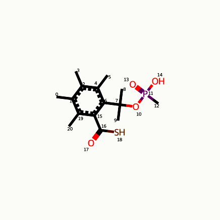 Cc1c(C)c(C)c(C(C)(C)OP(C)(=O)O)c(C(=O)S)c1C